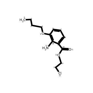 CCCCOc1cccc(C(=O)OCCCl)c1N